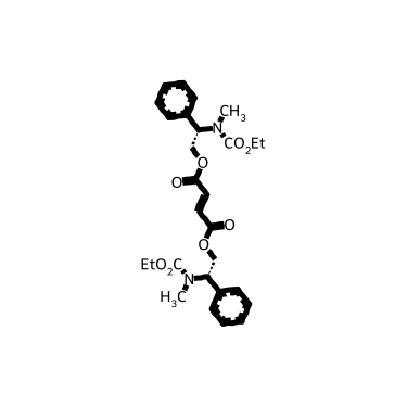 CCOC(=O)N(C)[C@H](COC(=O)/C=C/C(=O)OC[C@H](c1ccccc1)N(C)C(=O)OCC)c1ccccc1